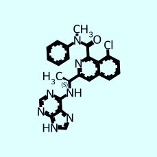 C[C@H](Nc1ncnc2[nH]cnc12)c1cc2cccc(Cl)c2c(C(=O)N(C)c2ccccc2)n1